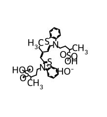 CCC(=Cc1sc2ccccc2[n+]1CCC(C)S(=O)(=O)O)C=C1Sc2ccccc2N1CCC(C)S(=O)(=O)O.[OH-]